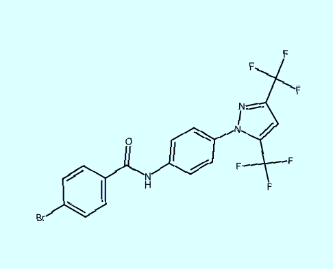 O=C(Nc1ccc(-n2nc(C(F)(F)F)cc2C(F)(F)F)cc1)c1ccc(Br)cc1